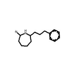 [N]C1CCCCC(CCCc2ccccc2)N1